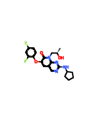 C[C@H](O)Cn1c(=O)c(Oc2ccc(F)cc2F)cc2cnc(NC3CCCC3)nc21